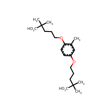 Cc1cc(OCCCC(C)(C)C(=O)O)ccc1OCCCC(C)(C)C(=O)O